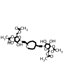 CC(=O)OC[C@H]1O[C@H](C#CC2CCCCC(C#C[C@H]3O[C@H](COC(C)=O)[C@@H](OC(C)=O)[C@H](O)[C@@H]3O)CCC2)[C@@H](O)[C@@H](O)[C@@H]1OC(C)=O